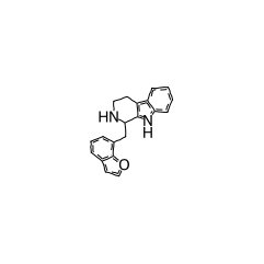 c1cc(CC2NCCc3c2[nH]c2ccccc32)c2occc2c1